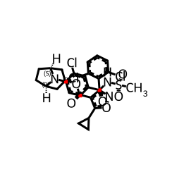 CS(=O)(=O)NC(=O)c1ccc(N2[C@@H]3CC[C@H]2C[C@@H](OC(=O)c2c(-c4c(Cl)cccc4Cl)noc2C2CC2)C3)c(Cl)c1